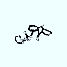 O=C(NN1CCCCC1)Oc1cccc2c1C(=O)c1ccccc1C2=O